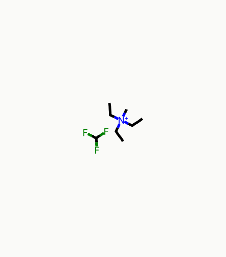 CC[N+](C)(CC)CC.FC(F)F